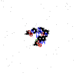 Cc1ccc2c(NS(=O)(=O)CC(C)C)c(F)ccc2c1Oc1ncccc1-c1ccnc(NC2CCCN(C(=O)OC(C)(C)C)C2)n1